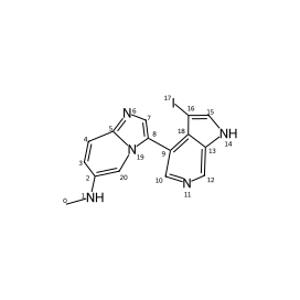 CNc1ccc2ncc(-c3cncc4[nH]cc(I)c34)n2c1